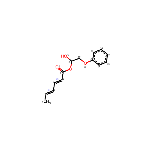 C/C=C/C=C/C(=O)OC(O)COc1ccccc1